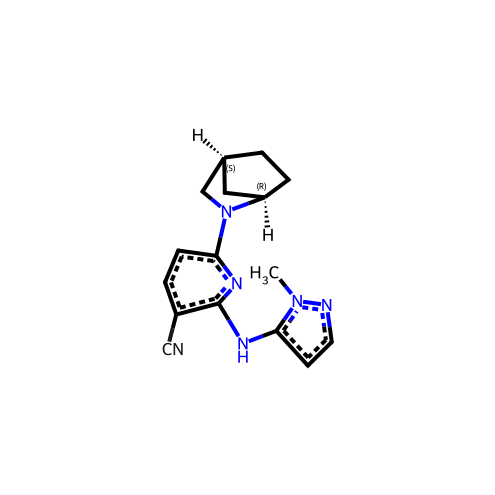 Cn1nccc1Nc1nc(N2C[C@H]3CC[C@@H]2C3)ccc1C#N